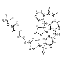 CN1C(=O)c2ccccc2N(C2CCCC2)c2nc(Nc3ccc(C(=O)N4CCN(CCCCCC(=O)OC(C)(C)C)CC4)cc3)ncc21